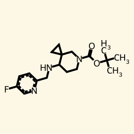 CC(C)(C)OC(=O)N1CCC(NCc2ccc(F)cn2)C2(CC2)C1